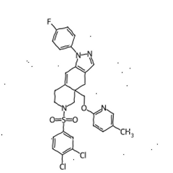 Cc1ccc(OCC23Cc4cnn(-c5ccc(F)cc5)c4C=C2CCN(S(=O)(=O)c2ccc(Cl)c(Cl)c2)C3)nc1